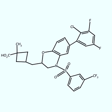 CC1(C(=O)O)CC(CC2CN(S(=O)(=O)c3cccc(C(F)(F)F)c3)c3cc(-c4cc(F)cc(F)c4Cl)ccc3O2)C1